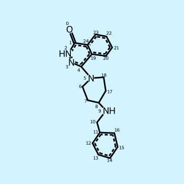 O=c1[nH]nc(N2CCC(NCc3ccccc3)CC2)c2ccccc12